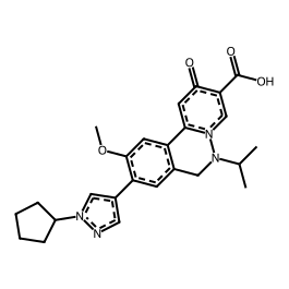 COc1cc2c(cc1-c1cnn(C3CCCC3)c1)CN(C(C)C)n1cc(C(=O)O)c(=O)cc1-2